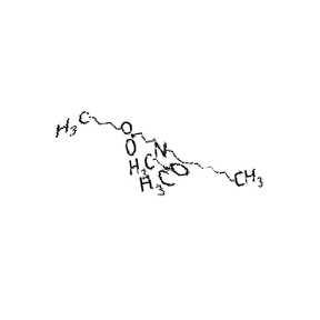 CCCCCCCCCN(CCCC(=O)OCCCCC)C(C)C(C)=O